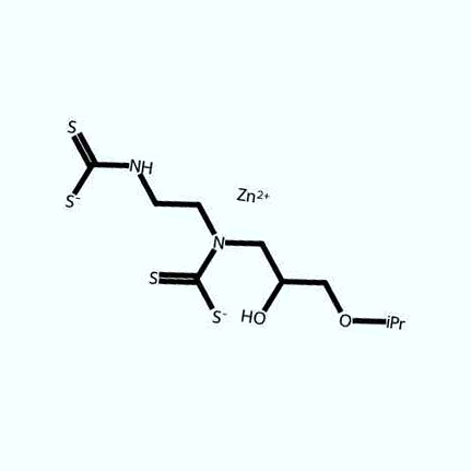 CC(C)OCC(O)CN(CCNC(=S)[S-])C(=S)[S-].[Zn+2]